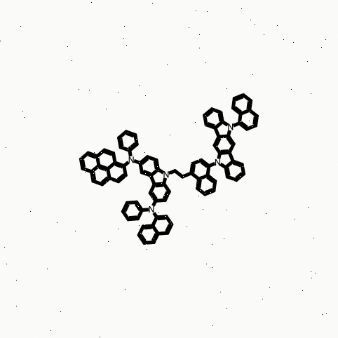 c1ccc(N(c2ccc3c(c2)c2cc(N(c4ccccc4)c4ccc5ccc6cccc7ccc4c5c67)ccc2n3CCc2ccc(-n3c4ccccc4c4cc5c(cc43)c3ccccc3n5-c3cccc4ccccc34)c3ccccc23)c2cccc3ccccc23)cc1